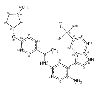 CC(Nc1ncc(N)c(-c2c[nH]c3ncc(C(F)(F)F)cc23)n1)c1ccc(O[C@@H]2CCN(C)C2)nc1